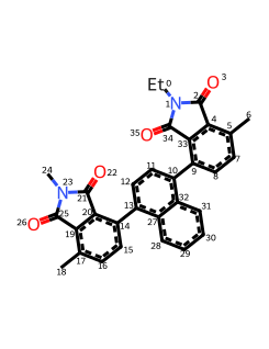 CCN1C(=O)c2c(C)ccc(-c3ccc(-c4ccc(C)c5c4C(=O)N(C)C5=O)c4ccccc34)c2C1=O